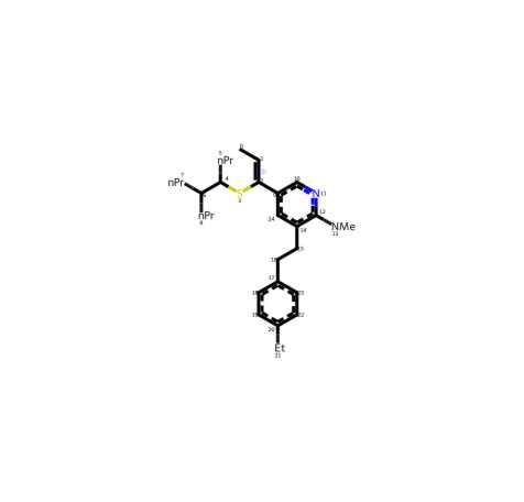 C/C=C(\SC(CCC)C(CCC)CCC)c1cnc(NC)c(CCc2ccc(CC)cc2)c1